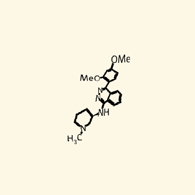 COc1ccc(-c2nnc(N[C@@H]3CCCN(C)C3)c3ccccc23)c(OC)c1